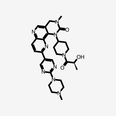 C[C@H](O)C(=O)N1CCC(N2C(=O)N(C)Cc3cnc4ccc(-c5cnc(N6CCN(C)CC6)nc5)nc4c32)CC1